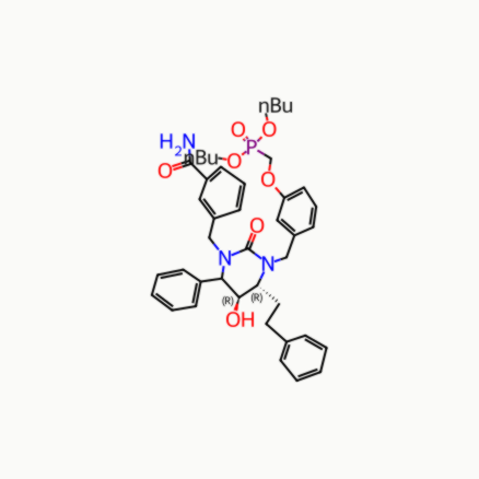 CCCCOP(=O)(COc1cccc(CN2C(=O)N(Cc3cccc(C(N)=O)c3)C(c3ccccc3)[C@H](O)[C@H]2CCc2ccccc2)c1)OCCCC